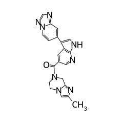 Cc1cn2c(n1)CN(C(=O)c1cnc3[nH]cc(-c4ccn5ncnc5c4)c3c1)CC2